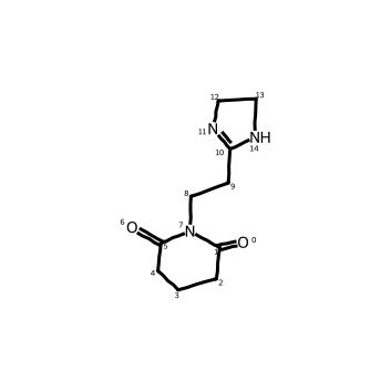 O=C1CCCC(=O)N1CCC1=NCCN1